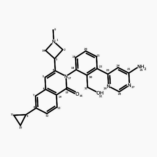 CN1CC(c2cc3cc(C4CC4)ccc3c(=O)n2-c2cccc(-c3cc(N)ncn3)c2CO)C1